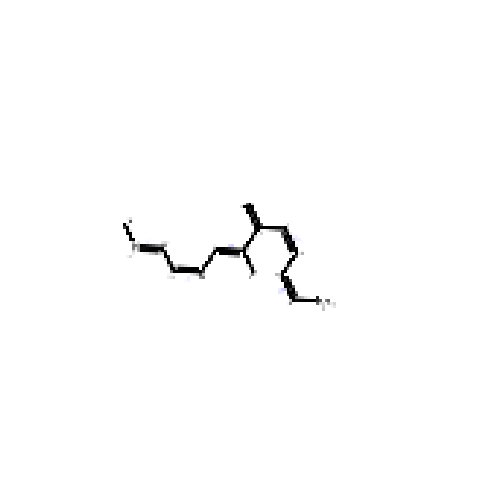 C=C(/C=C\C=C/N)/C(C)=C/C=C\C=N\C